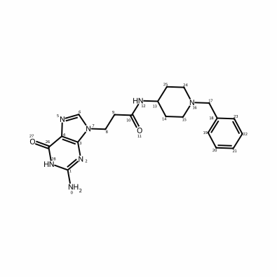 Nc1nc2c(ncn2CCC(=O)NC2CCN(Cc3ccccc3)CC2)c(=O)[nH]1